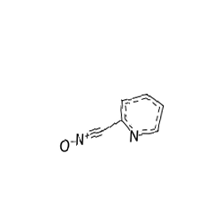 [O-][N+]#Cc1ccccn1